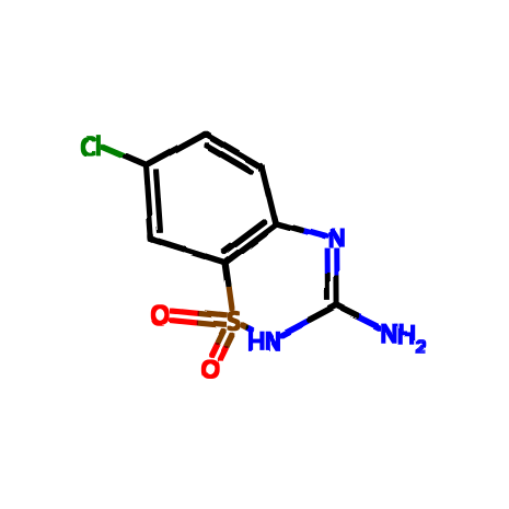 NC1=Nc2ccc(Cl)cc2S(=O)(=O)N1